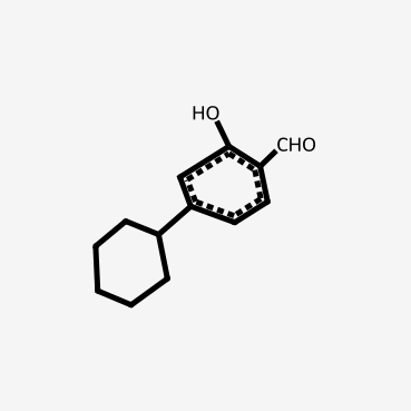 O=Cc1ccc(C2CCCCC2)cc1O